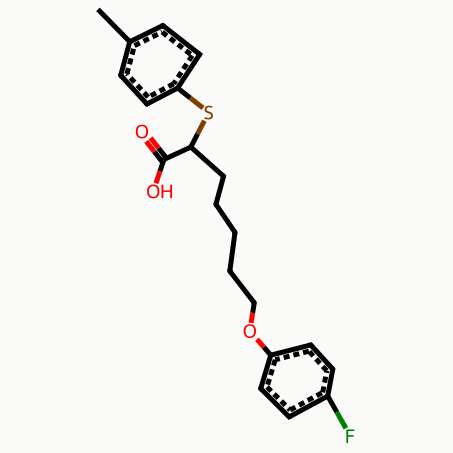 Cc1ccc(SC(CCCCCOc2ccc(F)cc2)C(=O)O)cc1